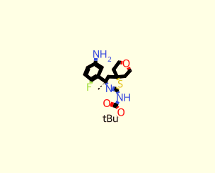 CC(C)(C)OC(=O)NC1=N[C@@](C)(c2cc(N)ccc2F)CC2(CCOCC2)S1